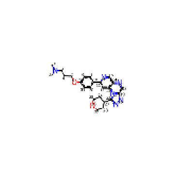 CN(C)CCCOc1ccc(-c2cc3c(cn2)ncc2nnc(C4CCOCC4)n23)cc1